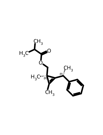 CC1=C([C@H](C)c2ccccc2)[C@]1(C)COC(=O)C(C)C